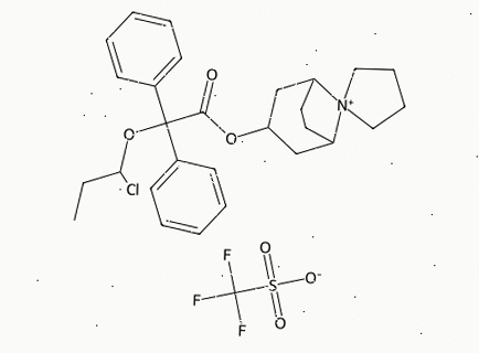 CCC(Cl)OC(C(=O)OC1CC2CCC(C1)[N+]21CCCC1)(c1ccccc1)c1ccccc1.O=S(=O)([O-])C(F)(F)F